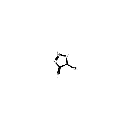 CC1ON=NC1=O